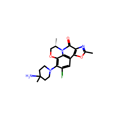 Cc1nc2c(=O)n3c4c(c(N5CCC(C)(N)CC5)c(F)cc4c2o1)OC[C@@H]3C